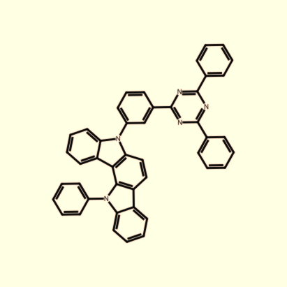 c1ccc(-c2nc(-c3ccccc3)nc(-c3cccc(-n4c5ccccc5c5c4ccc4c6ccccc6n(-c6ccccc6)c45)c3)n2)cc1